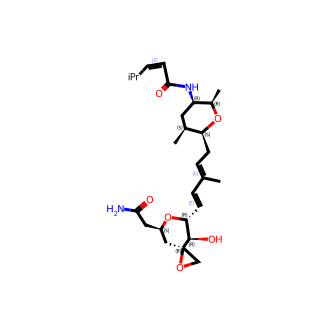 CC(/C=C/[C@H]1O[C@H](CC(N)=O)C[C@@]2(CO2)[C@@H]1O)=C\C[C@@H]1O[C@H](C)[C@H](NC(=O)/C=C\C(C)C)C[C@@H]1C